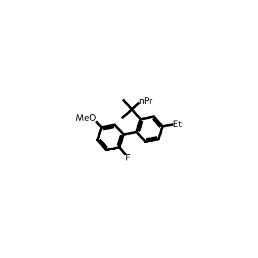 CCCC(C)(C)c1cc(CC)ccc1-c1cc(OC)ccc1F